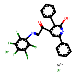 O=C(C=Nc1c(F)c(F)c(F)c(F)c1F)c1cc(-c2ccccc2)nc(O)c1-c1ccccc1.[Br-].[Br-].[Ni+2]